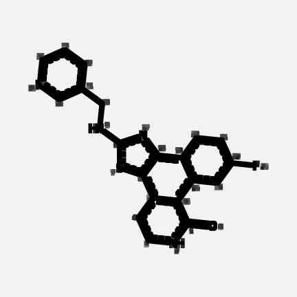 O=c1[nH]ccc2c3sc(NCc4cccnc4)nc3c3ccc(F)cc3c12